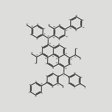 Cc1ccc(N(c2ccc(-c3ccccc3)cc2C)c2cc(C(C)C)c3ccc4c(N(c5ccc(C)cc5)c5ccc(-c6ccccc6)cc5C)cc(C(C)C)c5ccc2c3c54)cc1